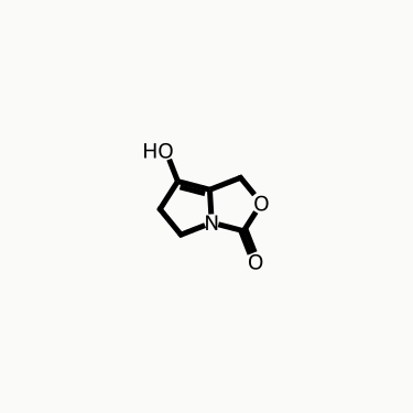 O=C1OCC2=C(O)CCN12